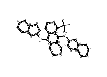 CC(C)(C)c1cccc2c(Oc3ccc4ccccc4c3)c3ccccc3c(Oc3ccc4ccccc4c3)c12